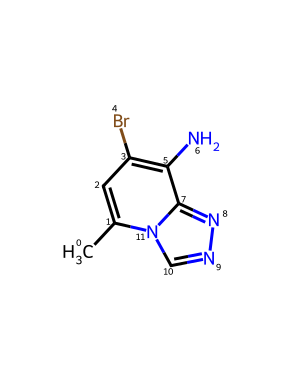 Cc1cc(Br)c(N)c2nncn12